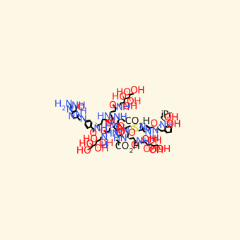 CC(C)C[C@H](NC[C@H](Cc1ccccc1)NC(=O)c1cnc(CSSC[C@@H](C)NC(=O)[C@H](CCC(=O)NC[C@H](O)[C@@H](O)[C@H](O)[C@H](O)CO)NC(=O)[C@H](CCC(=O)O)NC(=O)[C@H](CCC(=O)NC[C@H](O)[C@@H](O)[C@H](O)[C@H](O)CO)NC(=O)[C@H](CCC(=O)O)NC(=O)[C@H](CCC(=O)NC[C@H](O)[C@@H](O)[C@H](O)[C@H](O)CO)NC(=O)CC[C@@H](C)NC(=O)c2ccc(NCc3cnc4nc(N)[nH]c(=O)c4n3)cc2)cn1)B(O)O